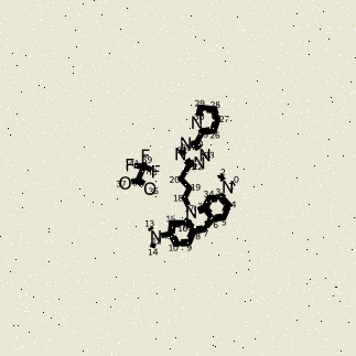 CN(C)c1ccc2cc3ccc(N(C)C)cc3[n+](CCCc3nnc(-c4ccccn4)nn3)c2c1.O=C([O-])C(F)(F)F